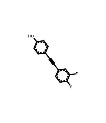 Oc1ccc(C#Cc2ccc(F)c(F)c2)cc1